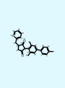 Cc1ccc(-c2cc(C)c(C3C(=O)CC(Cc4ccccn4)C3=O)c(C)c2)cc1